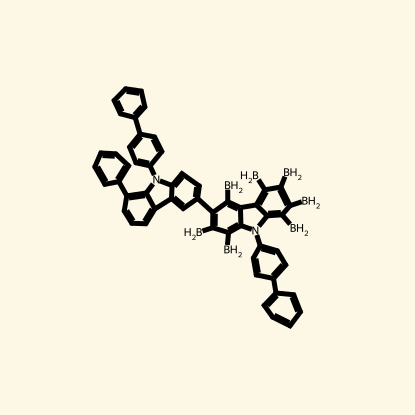 Bc1c(B)c(B)c2c(c1B)c1c(B)c(-c3ccc4c(c3)c3cccc(-c5ccccc5)c3n4-c3ccc(-c4ccccc4)cc3)c(B)c(B)c1n2-c1ccc(-c2ccccc2)cc1